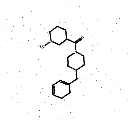 CN1CCCC(C(=O)N2CCC(CC3=CC=CCC3)CC2)C1